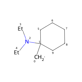 [CH2]C1(N(CC)CC)CCCCC1